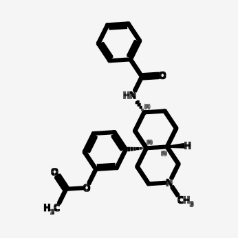 CC(=O)Oc1cccc([C@@]23CCN(C)C[C@H]2CC[C@@H](NC(=O)c2ccccc2)C3)c1